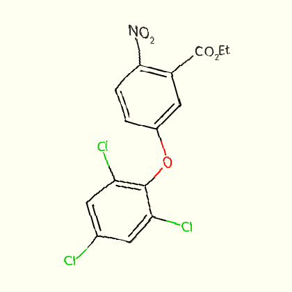 CCOC(=O)c1cc(Oc2c(Cl)cc(Cl)cc2Cl)ccc1[N+](=O)[O-]